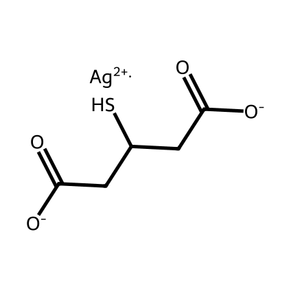 O=C([O-])CC(S)CC(=O)[O-].[Ag+2]